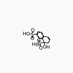 O=S(=O)(O)c1ccc2c(c1)C(O)(S(=O)(=O)O)CC=C2